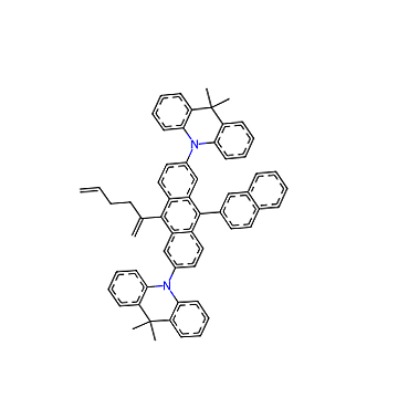 C=CCCC(=C)c1c2cc(N3c4ccccc4C(C)(C)c4ccccc43)ccc2c(-c2ccc3ccccc3c2)c2cc(N3c4ccccc4C(C)(C)c4ccccc43)ccc12